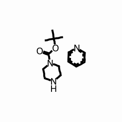 CC(C)(C)OC(=O)N1CCNCC1.c1ccncc1